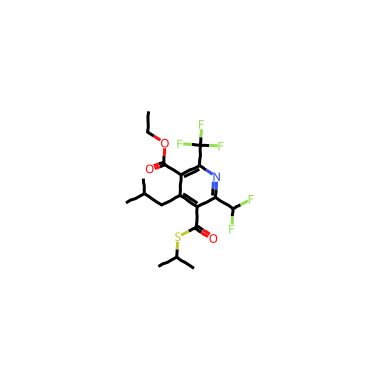 CCOC(=O)c1c(C(F)(F)F)nc(C(F)F)c(C(=O)SC(C)C)c1CC(C)C